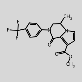 COC(=O)c1ccn2c1C(=O)N(c1ccc(C(F)(F)F)cc1)CC2C